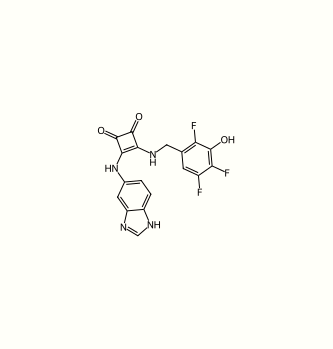 O=c1c(NCc2cc(F)c(F)c(O)c2F)c(Nc2ccc3[nH]cnc3c2)c1=O